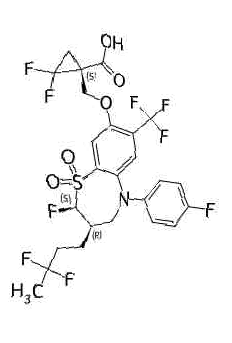 CC(F)(F)CC[C@@H]1CN(c2ccc(F)cc2)c2cc(C(F)(F)F)c(OC[C@]3(C(=O)O)CC3(F)F)cc2S(=O)(=O)[C@@H]1F